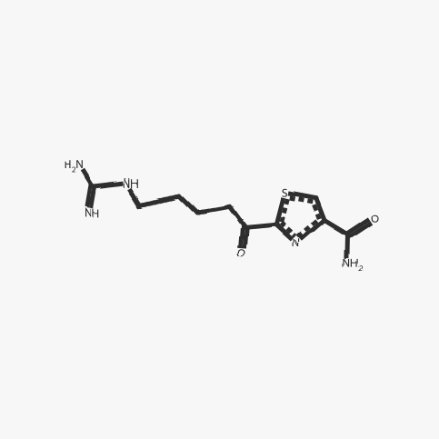 N=C(N)NCCC[CH]C(=O)c1nc(C(N)=O)cs1